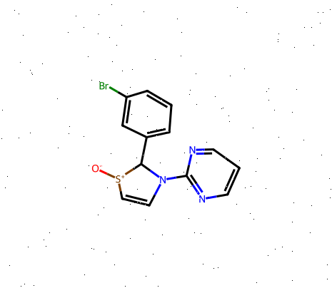 [O-][S+]1C=CN(c2ncccn2)C1c1cccc(Br)c1